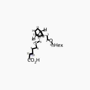 CCCCCCOCC[C@@H]1[C@H](CSCC/C=C/C(=O)O)[C@@H]2CC[C@H]1O2